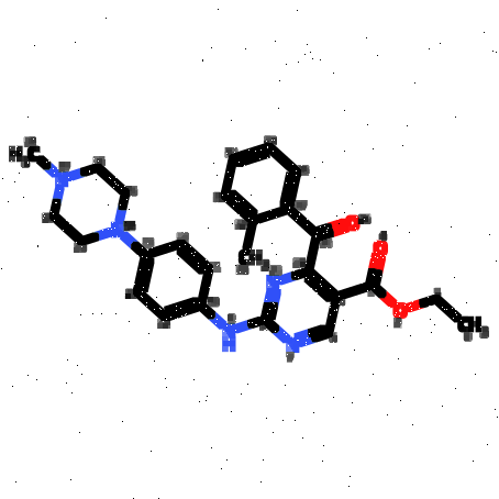 CCOC(=O)c1cnc(Nc2ccc(N3CCN(C)CC3)cc2)nc1C(=O)c1ccccc1C